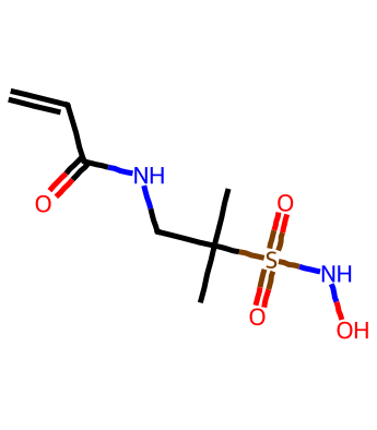 C=CC(=O)NCC(C)(C)S(=O)(=O)NO